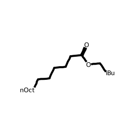 CCCCCCCCCCCCCC(=O)OCC(C)CC